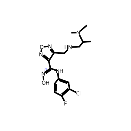 CC(CNCc1nonc1/C(=N/O)Nc1ccc(F)c(Cl)c1)N(C)C